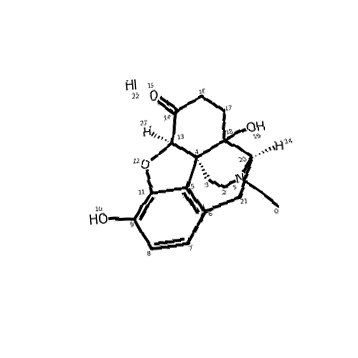 CN1CC[C@]23c4c5ccc(O)c4O[C@H]2C(=O)CCC3(O)[C@H]1C5.I